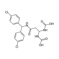 O=C(O)NC(CC(=O)NC(c1ccc(Cl)cc1)c1ccc(Cl)cc1)NC(=O)O